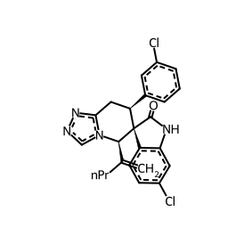 C=C(CCC)[C@H]1n2cnnc2C[C@@H](c2cccc(Cl)c2)[C@]12C(=O)Nc1cc(Cl)ccc12